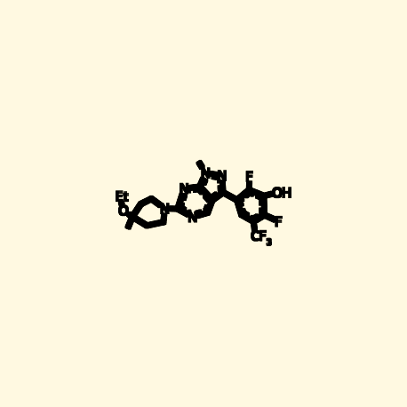 CCOC1(C)CCN(c2ncc3c(-c4cc(C(F)(F)F)c(F)c(O)c4F)nn(C)c3n2)CC1